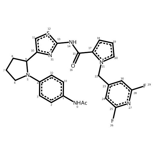 CC(=O)Nc1ccc(N2CCCC2c2csc(NC(=O)c3cccn3Cc3cc(F)nc(F)c3)n2)cc1